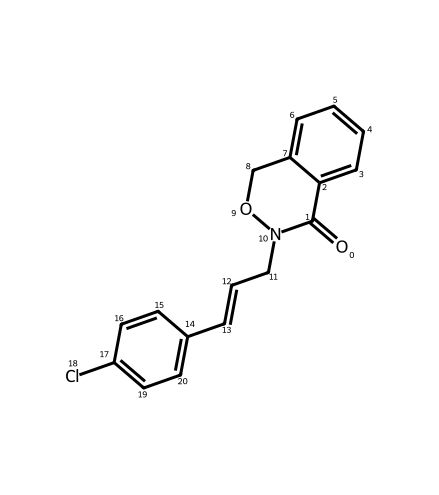 O=C1c2ccccc2CON1C/C=C/c1ccc(Cl)cc1